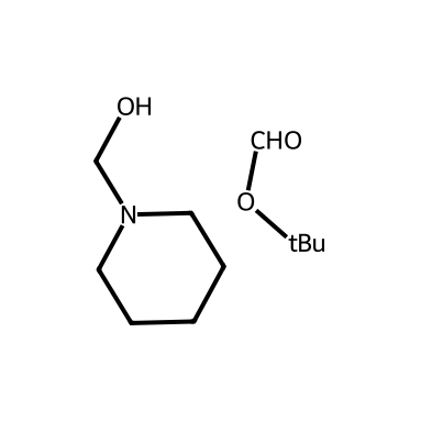 CC(C)(C)OC=O.OCN1CCCCC1